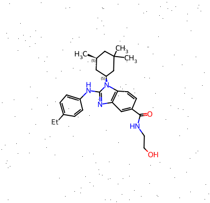 CCc1ccc(Nc2nc3cc(C(=O)NCCO)ccc3n2[C@H]2C[C@@H](C)CC(C)(C)C2)cc1